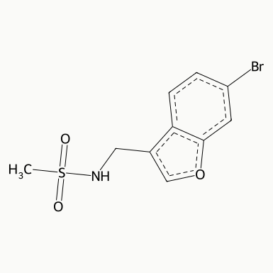 CS(=O)(=O)NCc1coc2cc(Br)ccc12